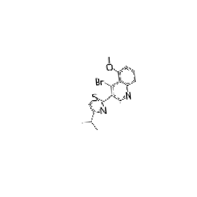 COc1cccc2n[c]c(-c3nc(C(C)C)cs3)c(Br)c12